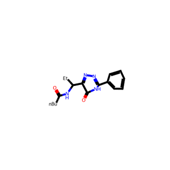 CCCCC(=O)NC(CC)c1nnc(-c2ccccc2)[nH]c1=O